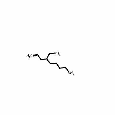 C=CCC(CN)CCCCN